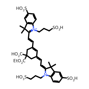 CCOC(=O)C1(C(=O)O)CC(/C=C/C2=[N+](CCCS(=O)(=O)O)c3ccc(S(=O)(=O)O)cc3C2(C)C)=CC(=C/C=C2/N(CCCS(=O)(=O)O)c3ccc(S(=O)(=O)O)cc3C2(C)C)/C1